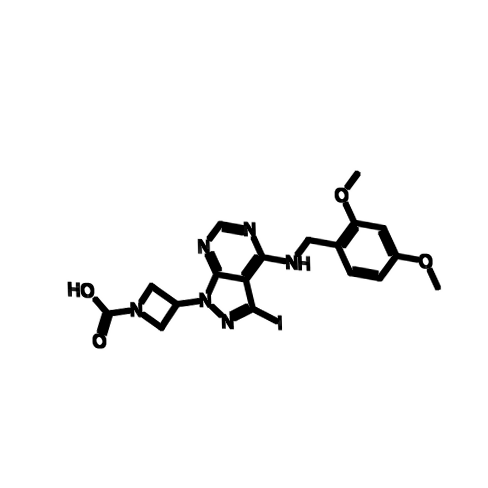 COc1ccc(CNc2ncnc3c2c(I)nn3C2CN(C(=O)O)C2)c(OC)c1